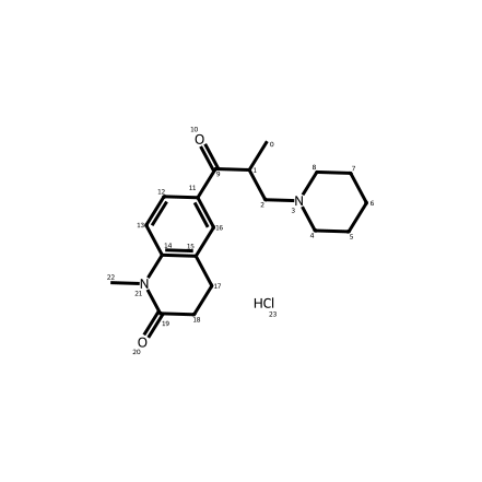 CC(CN1CCCCC1)C(=O)c1ccc2c(c1)CCC(=O)N2C.Cl